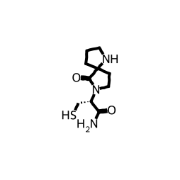 NC(=O)[C@H](CS)N1CCC2(CCCN2)C1=O